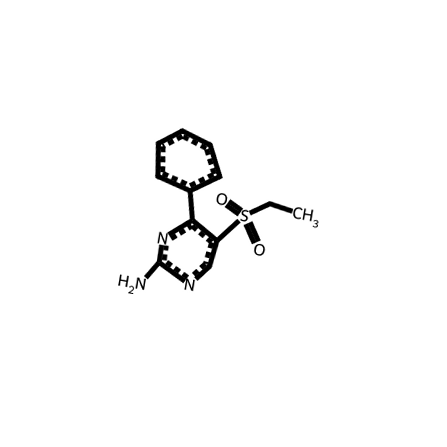 CCS(=O)(=O)c1cnc(N)nc1-c1ccccc1